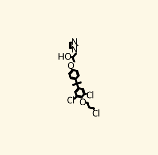 CC(C)(c1ccc(OCC(O)Cn2ccnc2)cc1)c1cc(Cl)c(OCCCCl)c(Cl)c1